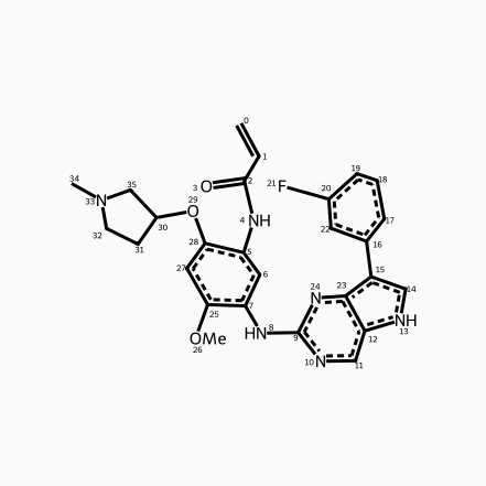 C=CC(=O)Nc1cc(Nc2ncc3[nH]cc(-c4cccc(F)c4)c3n2)c(OC)cc1OC1CCN(C)C1